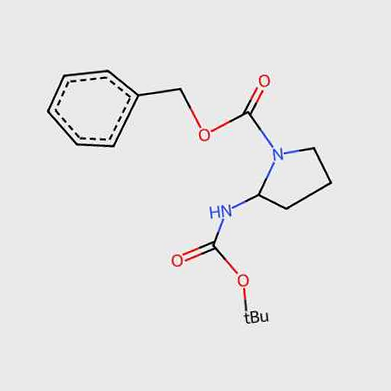 CC(C)(C)OC(=O)NC1CCCN1C(=O)OCc1ccccc1